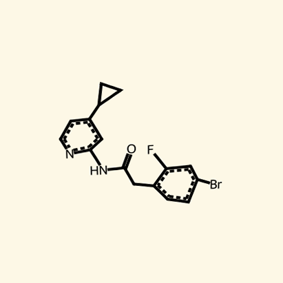 O=C(Cc1ccc(Br)cc1F)Nc1cc(C2CC2)ccn1